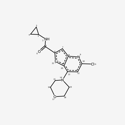 O=C(NC1CC1)c1cc2nc(Cl)cc(N3CCOCC3)c2s1